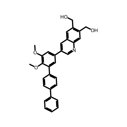 COc1cc(-c2cnc3cc(CO)c(CO)cc3c2)cc(-c2ccc(-c3ccccc3)cc2)c1OC